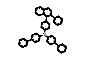 c1ccc(-c2ccc(N(c3ccc(-c4ccccc4)cc3)c3ccc(-c4c(-c5ccccc5)ccc5ccccc45)cc3)cc2)cc1